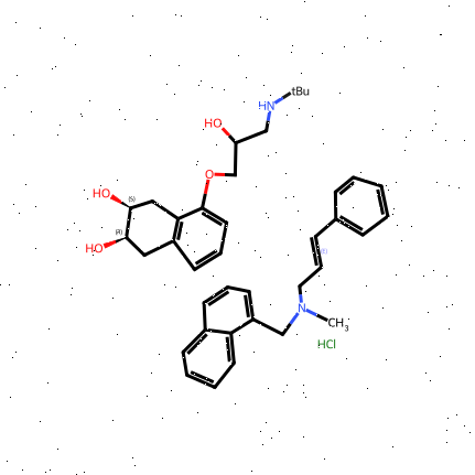 CC(C)(C)NCC(O)COc1cccc2c1C[C@H](O)[C@H](O)C2.CN(C/C=C/c1ccccc1)Cc1cccc2ccccc12.Cl